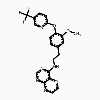 COc1cc(CCNc2ncnc3nccnc23)ccc1Oc1ccc(C(F)(F)F)cn1